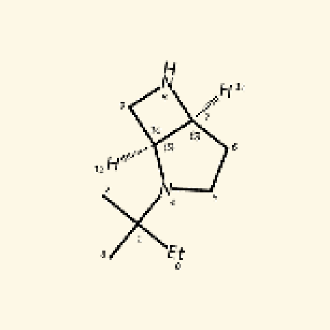 CCC(C)(C)N1CC[C@@H]2NC[C@@H]21